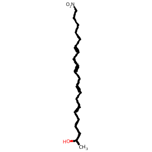 CC(O)CCCC=CCC=CCC=CCC=CCCCCC[N+](=O)[O-]